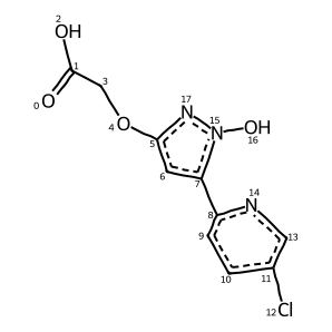 O=C(O)COc1cc(-c2ccc(Cl)cn2)n(O)n1